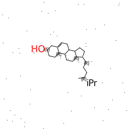 CC(C)[C@H](C)CC[C@@H](C)C1CCC2C3CC=C4C[C@@H](O)CC[C@]4(C)C3CC[C@@]21C